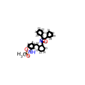 CS(=O)(=O)Nc1cccc(CC2CCCCC2c2nc(-c3ccccc3)c(-c3ccccc3)o2)c1